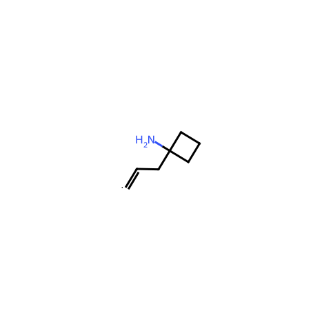 [CH]=CCC1(N)CCC1